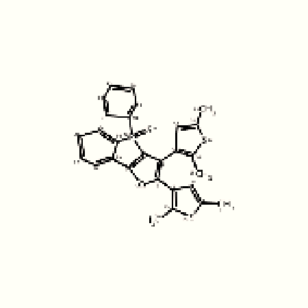 Cc1cc(-c2oc3c(c2-c2cc(C)sc2C)P(=S)(c2ccccc2)c2ccccc2-3)c(C)s1